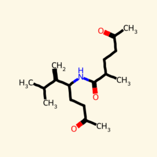 C=C(C(C)C)C(CCC(C)=O)NC(=O)C(C)CCC(C)=O